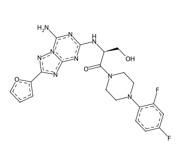 Nc1nc(N[C@@H](CO)C(=O)N2CCN(c3ccc(F)cc3F)CC2)nc2nc(-c3ccco3)nn12